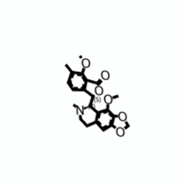 COc1c(C)ccc2c1C(=O)O[C@@H]2[C@H]1c2c(cc3c(c2OC)OCO3)CCN1C